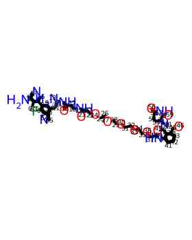 Cc1c(N)cncc1-c1cc(/C=C(\N)NC(=O)CCNC(=O)CCOCCOCCOCCOCCOCCNc2cccc(C=O)c2C(=O)N(C)C2CCC(=O)NC2=O)c2c(c1F)N=C2